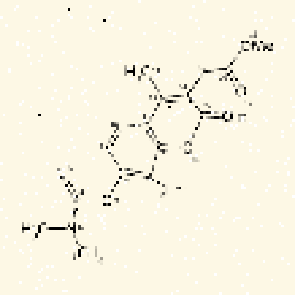 CCCc1c(OC(=S)N(C)C)ccc2c(C)c(CC(=O)OC)c(=O)oc12